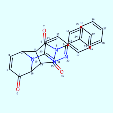 O=C1C=CC2C3C(=O)N(c4ccccc4)C(=O)C3C1N2c1ccc(-c2ccccc2)nn1